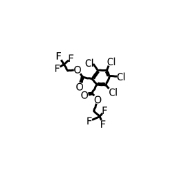 O=C(OCC(F)(F)F)c1c(Cl)c(Cl)c(Cl)c(Cl)c1C(=O)OCC(F)(F)F